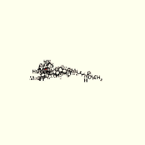 C=CCOC(=O)NCCCCCCNC(=O)O[C@H]1CC[C@@]2(C)C(=CC[C@H]3C4C[C@H](OC5OCC(O)C(OC6OCC(O)C(O)C6OC(=O)c6ccc(OC)cc6)C5OC(C)=O)C(CC(=O)CCC(C)C)[C@@]4(C)CCC32)C1